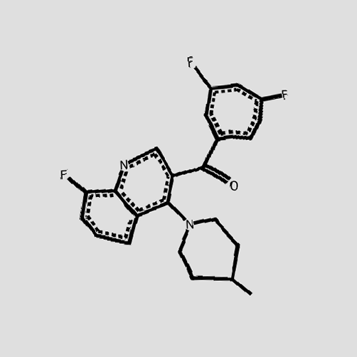 CC1CCN(c2c(C(=O)c3cc(F)cc(F)c3)cnc3c(F)cccc23)CC1